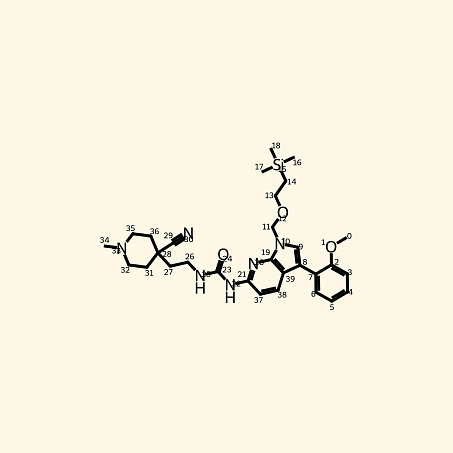 COc1ccccc1-c1cn(COCC[Si](C)(C)C)c2nc(NC(=O)NCCC3(C#N)CCN(C)CC3)ccc12